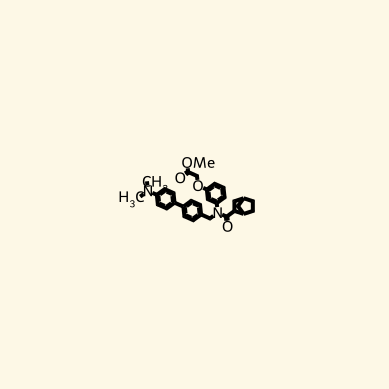 COC(=O)COc1cccc(N(Cc2ccc(-c3ccc(N(C)C)cc3)cc2)C(=O)C2CC3CCC2C3)c1